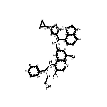 N#CCC[C@@H](Nc1c(C#N)cnc2c(Cl)cc(NC(c3cn(C4CC4)nn3)c3cccc4ncsc34)cc12)c1ccccc1